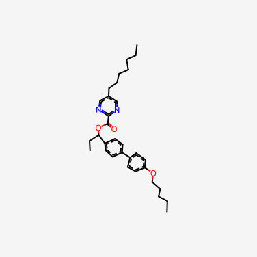 CCCCCCCc1cnc(C(=O)OC(CC)c2ccc(-c3ccc(OCCCCC)cc3)cc2)nc1